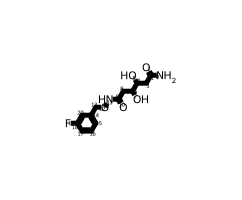 NC(=O)CC(O)C(O)CC(=O)NOCc1cccc(F)c1